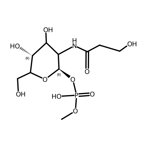 COP(=O)(O)O[C@H]1OC(CO)[C@H](O)C(O)C1NC(=O)CCO